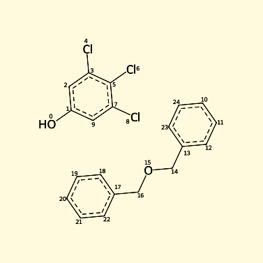 Oc1cc(Cl)c(Cl)c(Cl)c1.c1ccc(COCc2ccccc2)cc1